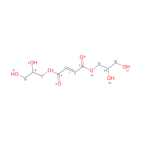 O=C(/C=C/C(=O)OCC(O)CO)OCC(O)CO